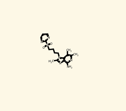 Cc1nc(N)c2nc(C)n(CCCCS(=O)(=O)c3ncccn3)c2c1C